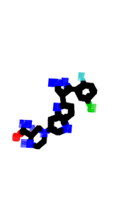 NC(=O)C1CN(c2cnc3ccc(-c4c[nH]nc4-c4cc(Cl)ccc4F)nc3c2)CCN1